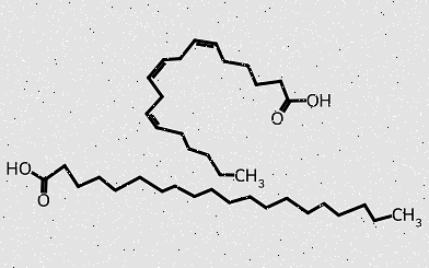 CCCCC/C=C\C/C=C\C/C=C\CCCCC(=O)O.CCCCCCCCCCCCCCCCCCCC(=O)O